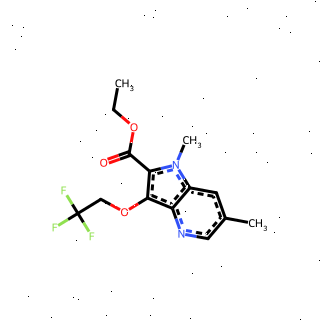 CCOC(=O)c1c(OCC(F)(F)F)c2ncc(C)cc2n1C